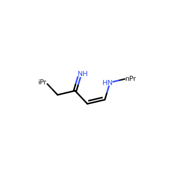 CCCN/C=C\C(=N)CC(C)C